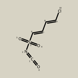 O=C=NS(=O)(=O)C=CC=CCl